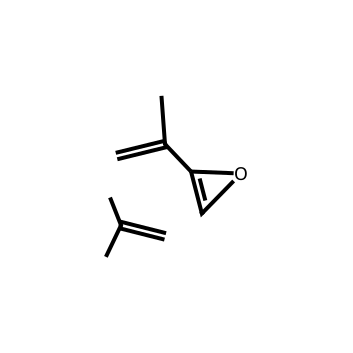 C=C(C)C.C=C(C)C1=CO1